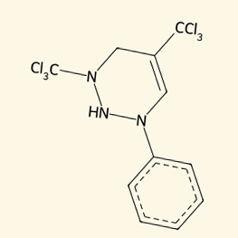 ClC(Cl)(Cl)C1=CN(c2ccccc2)NN(C(Cl)(Cl)Cl)C1